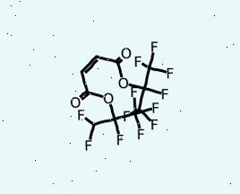 O=C(/C=C\C(=O)OC(F)(C(F)F)C(F)(F)F)OC(F)(C(F)F)C(F)(F)F